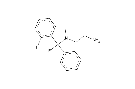 CN(CCN)C(F)(c1ccccc1)c1ccccc1F